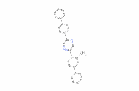 Cc1cc(-c2ccccc2)ccc1-c1cnc(-c2ccc(-c3ccccc3)cc2)cn1